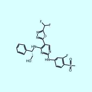 CS(=O)(=O)c1ccc(Nc2ncc(-c3nnc(C(F)F)o3)c(N[C@H](CO)c3ccccc3)n2)cc1F